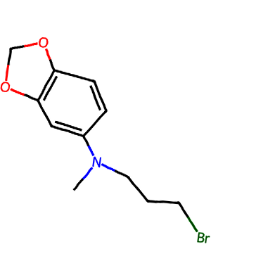 CN(CCCBr)c1ccc2c(c1)OCO2